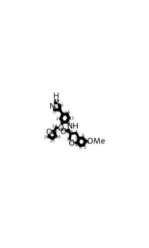 COc1ccc2c(c1)CC(C(=O)Nc1ccc(-c3cn[nH]c3)cc1OCc1ccco1)CO2